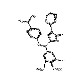 COc1cc(C(Nc2ccc(C(=N)N)cc2)c2nn(-c3ncccn3)c(=O)[nH]2)cc(C(C)=O)c1OC